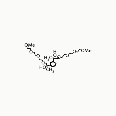 COCCOCCOCCOCC(C)(O)c1cccc(C(C)(O)COCCOCCOCCOC)c1